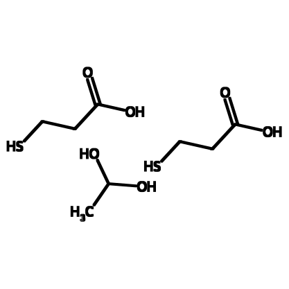 CC(O)O.O=C(O)CCS.O=C(O)CCS